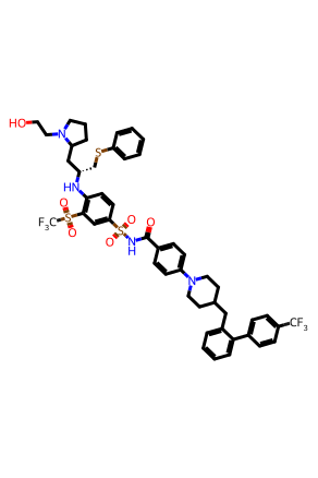 O=C(NS(=O)(=O)c1ccc(N[C@@H](CSc2ccccc2)CC2CCCN2CCO)c(S(=O)(=O)C(F)(F)F)c1)c1ccc(N2CCC(Cc3ccccc3-c3ccc(C(F)(F)F)cc3)CC2)cc1